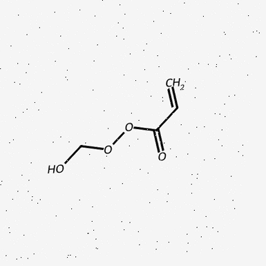 C=CC(=O)OOCO